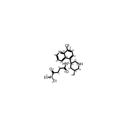 CCN(CC)C(=O)CCC(=O)N[C@]1(c2ccc(C(F)(F)F)c3ncccc23)CNC[C@@H](C)C1